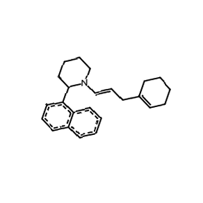 C(=CN1CCCCC1c1cccc2ccccc12)CC1=CCCCC1